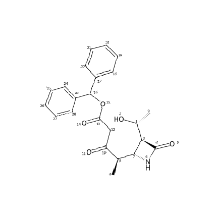 C[C@@H](O)[C@H]1C(=O)N[C@@H]1[C@@H](C)C(=O)CC(=O)OC(c1ccccc1)c1ccccc1